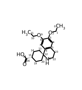 CCOc1cc2c(cc1OCC)[C@]1(CC[C@@H](C(=O)O)CC1)NCC2